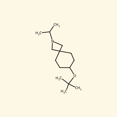 CC(C)N1CC2(CCC(OC(C)(C)C)CC2)C1